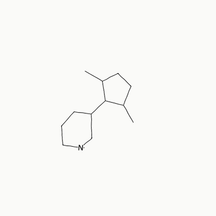 CC1CCC(C)C1C1CCC[N]C1